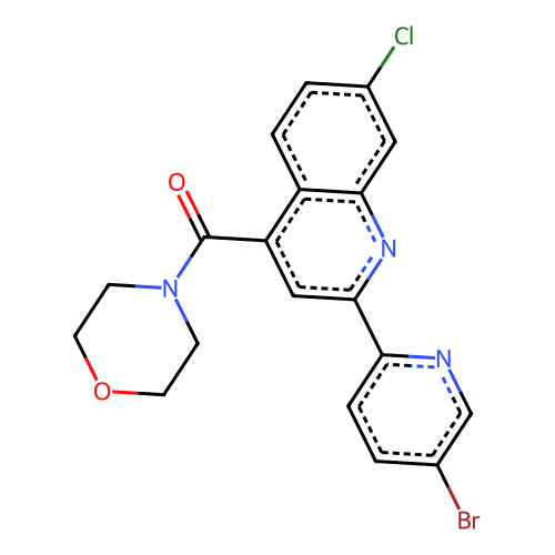 O=C(c1cc(-c2ccc(Br)cn2)nc2cc(Cl)ccc12)N1CCOCC1